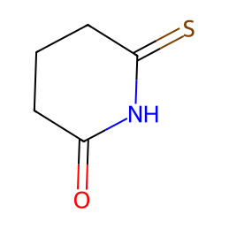 O=C1CCCC(=S)N1